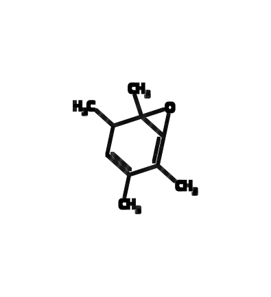 CC1=CC(C)C2(C)OC2=C1C